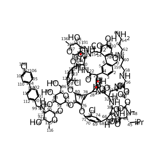 Cc1ccc2cc1-c1c(O)cc(O)cc1[C@H](C(=O)O)NC(=O)[C@H]1NC(=O)[C@@H]2NC(=O)[C@@H]2NC(=O)[C@H](CC(N)=O)NC(=O)[C@H](NC(=O)[C@@H](CC(C)C)N(C)C(=O)OCOC(=O)CNCCCNCCCN)[C@H](O)c3ccc(c(Cl)c3)Oc3cc2cc(c3O[C@@H]2O[C@H](CO)[C@@H](O)[C@H](O)[C@H]2O[C@H]2C[C@](C)(NCc3ccc(-c4ccc(Cl)cc4)cc3)[C@@H](O)[C@H](C)O2)Oc2ccc(cc2Cl)[C@H]1O[C@H]1C[C@](C)(N)[C@@H](O)[C@H](C)O1